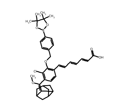 CO/C(=C1\C2CC3CC(C2)C1C3)c1ccc(/C=C/C=C/C=C/C(=O)O)c(OCc2ccc(B3OC(C)(C)C(C)(C)O3)cc2)c1Cl